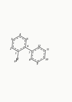 Fc1ccc[c]c1-c1ccccc1